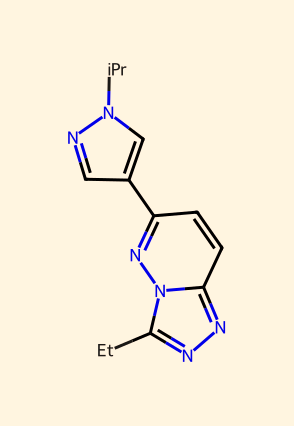 CCc1nnc2ccc(-c3cnn(C(C)C)c3)nn12